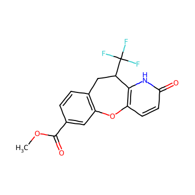 COC(=O)c1ccc2c(c1)Oc1ccc(=O)[nH]c1C(C(F)(F)F)C2